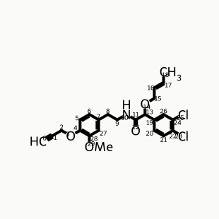 C#CCOc1ccc(CCNC(=O)C(OC/C=C/C)c2ccc(Cl)c(Cl)c2)cc1OC